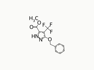 COC(=O)c1[nH]nc(OCc2ccccc2)c1C(F)(F)F